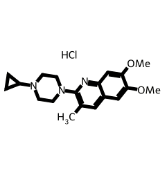 COc1cc2cc(C)c(N3CCN(C4CC4)CC3)nc2cc1OC.Cl